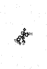 COc1cc2c(cc1OC(C)C)-n1c(-c3ccsc3)nc(C(=O)N3CCCNCC3C(=O)C3CCC3)c1CC2